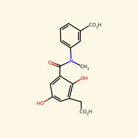 CN(C(=O)c1cc(O)cc(CC(=O)O)c1O)c1cccc(C(=O)O)c1